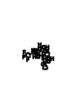 CN1CCC(O)([C@H](S[C@@H]2O[C@H](CO)[C@H](O)[C@H](n3cc(-c4cc(F)c(F)c(F)c4)nn3)[C@H]2O)C(=O)N2CCc3ccccc32)CC1